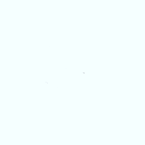 CCCCOC[C@H]1OC(O)(c2ccc(Br)c(Cc3ccc4c(c3)N(Cc3ccccc3)CCO4)c2)C[C@@H](OCCCC)[C@@H]1OCCCC